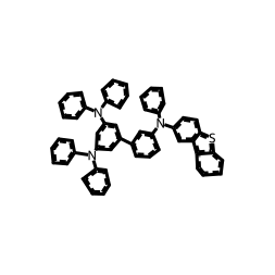 c1ccc(N(c2ccccc2)c2cc(-c3cccc(N(c4ccccc4)c4ccc5sc6ccccc6c5c4)c3)cc(N(c3ccccc3)c3ccccc3)c2)cc1